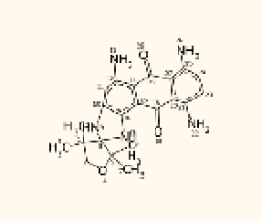 CC1(C)COC(C)(C)C12Nc1cc(N)c3c(c1N2)C(=O)c1c(N)ccc(N)c1C3=O